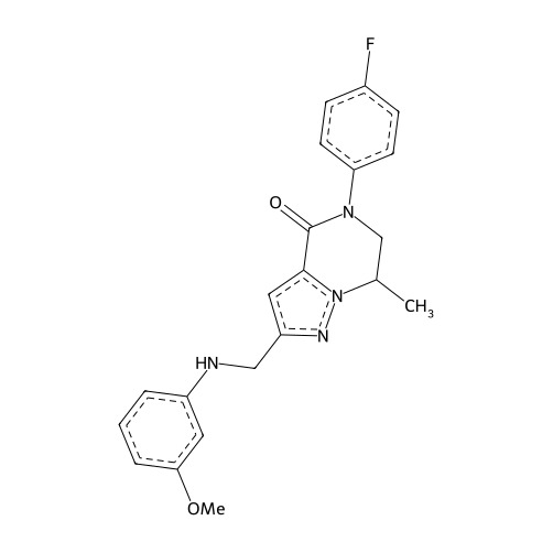 COc1cccc(NCc2cc3n(n2)C(C)CN(c2ccc(F)cc2)C3=O)c1